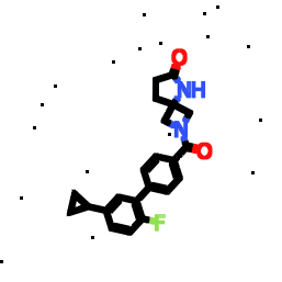 O=C1CCC2(CN(C(=O)c3ccc(-c4cc(C5CC5)ccc4F)cc3)C2)N1